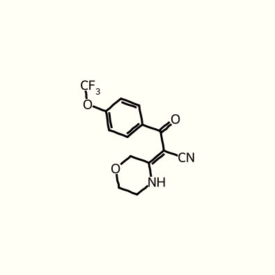 N#CC(C(=O)c1ccc(OC(F)(F)F)cc1)=C1COCCN1